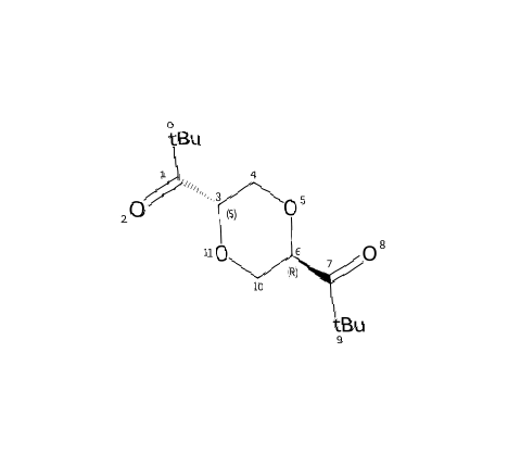 CC(C)(C)C(=O)[C@@H]1CO[C@@H](C(=O)C(C)(C)C)CO1